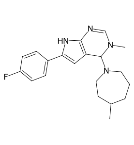 CC1CCCN(C2c3cc(-c4ccc(F)cc4)[nH]c3N=CN2C)CC1